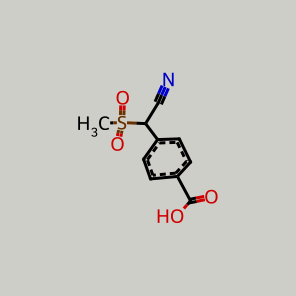 CS(=O)(=O)C(C#N)c1ccc(C(=O)O)cc1